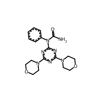 NC(=O)N(c1ccccc1)c1nc(N2CCOCC2)nc(N2CCOCC2)n1